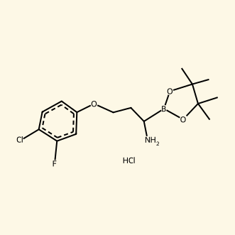 CC1(C)OB(C(N)CCOc2ccc(Cl)c(F)c2)OC1(C)C.Cl